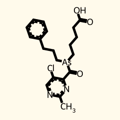 Cc1ncc(Cl)c(C(=O)[As](CCCCC(=O)O)CCCc2ccccc2)n1